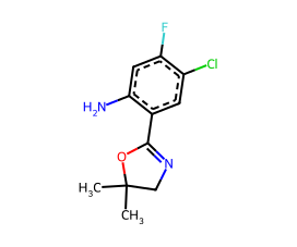 CC1(C)CN=C(c2cc(Cl)c(F)cc2N)O1